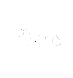 CC(C)(C)NC(=O)OCC1(C)CCN(Cc2ccccc2)CC1O